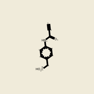 C#CC(=O)Nc1ccc(CC(=O)O)cc1